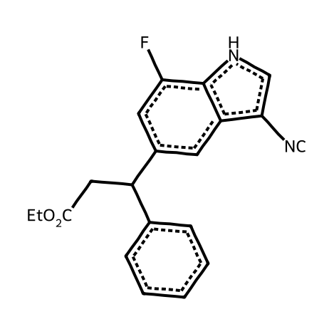 [C-]#[N+]c1c[nH]c2c(F)cc(C(CC(=O)OCC)c3ccccc3)cc12